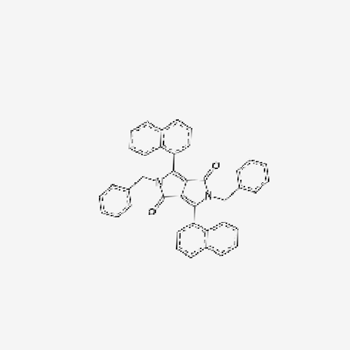 O=C1C2=C(c3cccc4ccccc34)N(Cc3ccccc3)C(=O)C2=C(c2cccc3ccccc23)N1Cc1ccccc1